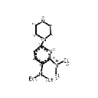 CCN(CC)c1ccc(N2CC[N]CC2)nc1N(CC)CC